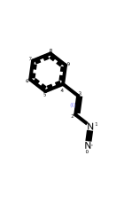 [N]=N/C=C/c1ccccc1